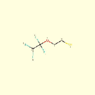 FC(F)C(F)(F)OCCS